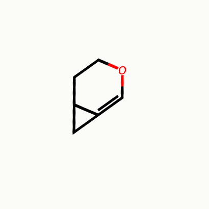 C1=C2CC2CCO1